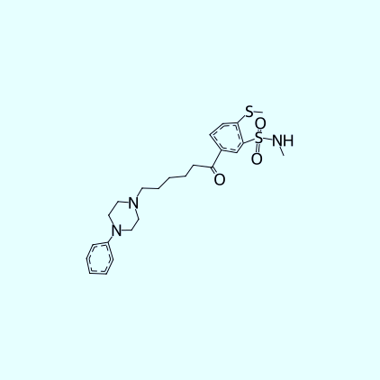 CNS(=O)(=O)c1cc(C(=O)CCCCCN2CCN(c3ccccc3)CC2)ccc1SC